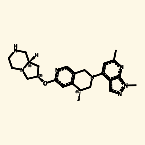 Cc1cc(N2Cc3cnc(O[C@@H]4C[C@H]5CNCCN5C4)cc3[C@@H](C)C2)c2cnn(C)c2n1